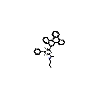 CCC/C=C(\C)c1nc(-c2ccccc2)nc(-c2cc3c4ccccc4c4ccccc4c3c3ccccc23)n1